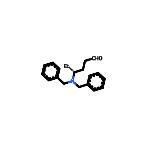 CC[C@H](CCC=O)N(Cc1ccccc1)Cc1ccccc1